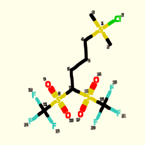 CS(C)(Cl)CCCC(S(=O)(=O)C(F)(F)F)S(=O)(=O)C(F)(F)F